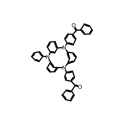 O=C(c1ccccc1)c1ccc(N2c3cccc(c3)N(c3ccccc3)c3cccc(c3)N(c3ccc(C(=O)c4ccccc4)cc3)c3cccc2c3)cc1